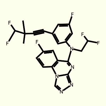 CC(C)(C#Cc1cc(F)cc(N(CC(F)F)c2nc3nncn3c3ccc(F)cc23)c1)C(F)F